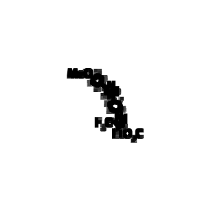 CCOC(=O)c1cnn(-c2ccc(-n3cc(-c4ccc(OC)cc4)nn3)cc2)c1C(F)(F)F